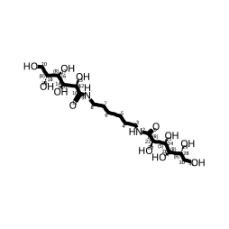 O=C(NCCCCCCNC(=O)[C@H](O)[C@@H](O)[C@H](O)[C@H](O)CO)[C@H](O)[C@@H](O)[C@H](O)[C@H](O)CO